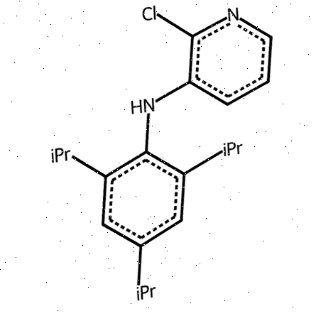 CC(C)c1cc(C(C)C)c(Nc2cccnc2Cl)c(C(C)C)c1